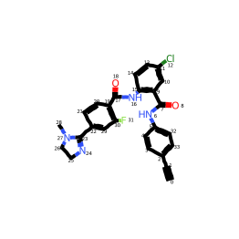 C#Cc1ccc(NC(=O)c2cc(Cl)ccc2NC(=O)c2ccc(C3=NCCN3C)cc2F)cc1